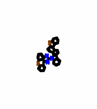 c1ccc2c(c1)Sc1cccc3nc(-n4c5ccccc5c5ccc6c(ccc7sc8ccccc8c76)c54)nc-2c13